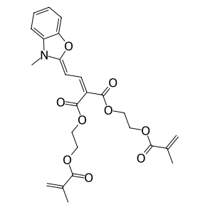 C=C(C)C(=O)OCCOC(=O)C(=C/C=C1\Oc2ccccc2N1C)C(=O)OCCOC(=O)C(=C)C